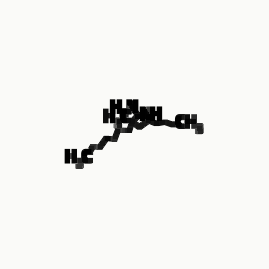 CCCCCCCC(C)(CCCCCC)C(=N)N